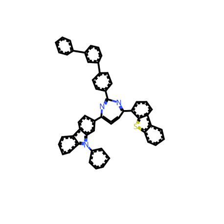 C1=CC(c2cccc3c2sc2ccccc23)=NC(c2ccc(-c3cccc(-c4ccccc4)c3)cc2)=NC=1c1ccc2c3ccccc3n(-c3ccccc3)c2c1